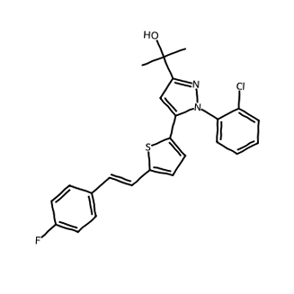 CC(C)(O)c1cc(-c2ccc(C=Cc3ccc(F)cc3)s2)n(-c2ccccc2Cl)n1